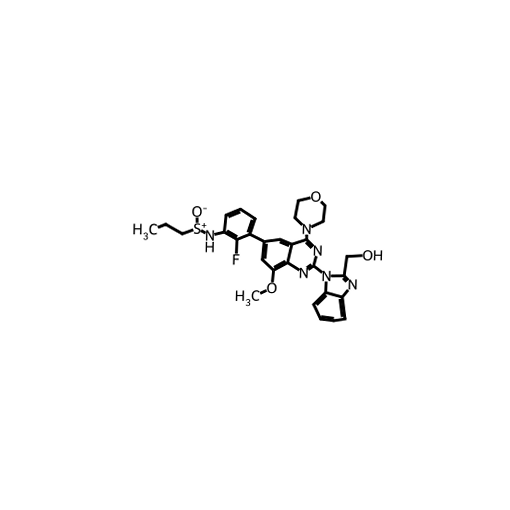 CCC[S+]([O-])Nc1cccc(-c2cc(OC)c3nc(-n4c(CO)nc5ccccc54)nc(N4CCOCC4)c3c2)c1F